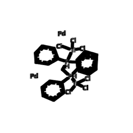 [Cl][Ti]([Cl])([Cl])[PH](C[PH](c1ccccc1)(c1ccccc1)[Ti]([Cl])([Cl])[Cl])(c1ccccc1)c1ccccc1.[Pd].[Pd]